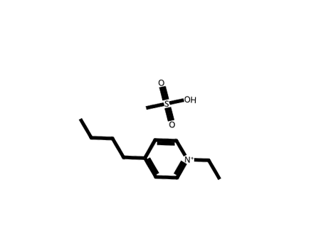 CCCCc1cc[n+](CC)cc1.CS(=O)(=O)O